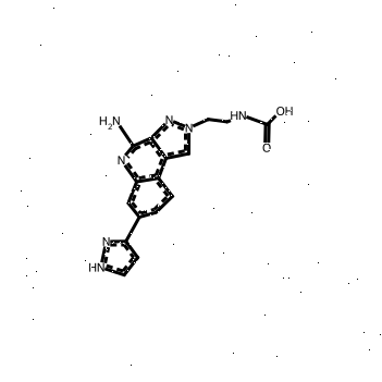 Nc1nc2cc(-c3cc[nH]n3)ccc2c2cn(CCNC(=O)O)nc12